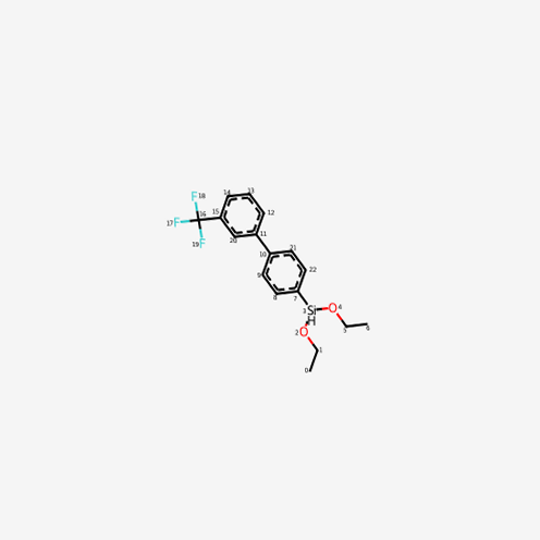 CCO[SiH](OCC)c1ccc(-c2cccc(C(F)(F)F)c2)cc1